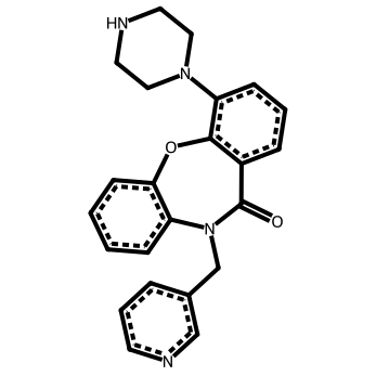 O=C1c2cccc(N3CCNCC3)c2Oc2ccccc2N1Cc1cccnc1